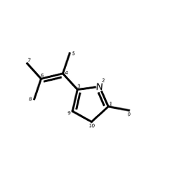 CC1=NC(C(C)=C(C)C)=CC1